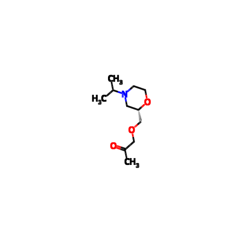 CC(=O)COC[C@@H]1CN(C(C)C)CCO1